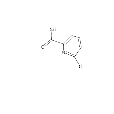 [NH]C(=O)c1cccc(Cl)n1